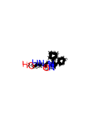 O=C(Cn1ncc(-c2ccccc2)c1-c1ccccc1)NCCCO